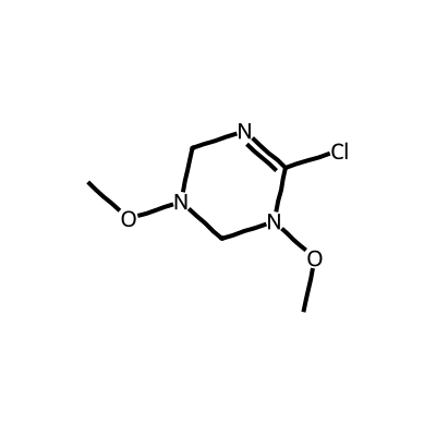 CON1CN=C(Cl)N(OC)C1